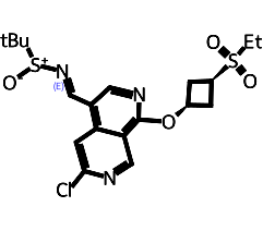 CCS(=O)(=O)[C@H]1C[C@@H](Oc2ncc(/C=N/[S+]([O-])C(C)(C)C)c3cc(Cl)ncc23)C1